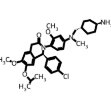 COc1cc2c(cc1OC(C)C)[C@H](c1ccc(Cl)cc1)N(c1ccc(N(C)C[C@H]3CC[C@H](N)CC3)cc1OC)C(=O)C2